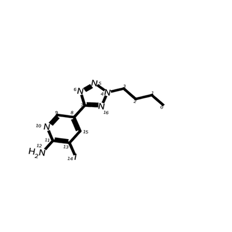 CCCCn1nnc(-c2cnc(N)c(I)c2)n1